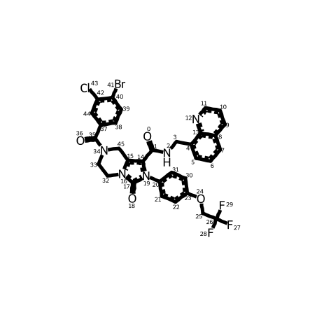 O=C(NCc1cccc2cccnc12)c1c2n(c(=O)n1-c1ccc(OCC(F)(F)F)cc1)CCN(C(=O)c1ccc(Br)c(Cl)c1)C2